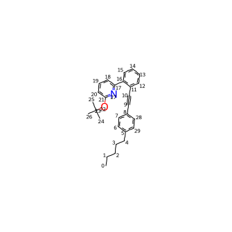 CCCCCc1ccc(C#Cc2ccccc2-c2cccc(OC(C)(C)C)n2)cc1